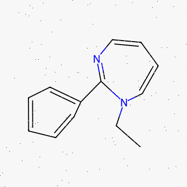 CCN1C=CC=CN=C1c1ccccc1